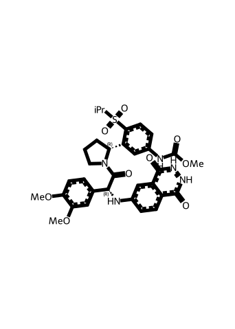 COC(=O)Nc1ccc(S(=O)(=O)C(C)C)c([C@H]2CCCN2C(=O)[C@H](Nc2ccc3c(=O)[nH][nH]c(=O)c3c2)c2ccc(OC)c(OC)c2)c1